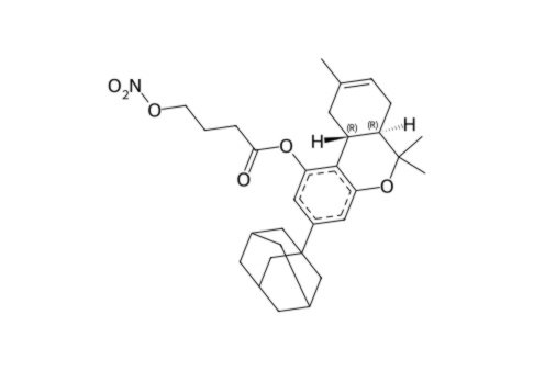 CC1=CC[C@@H]2[C@@H](C1)c1c(OC(=O)CCCO[N+](=O)[O-])cc(C34CC5CC(CC(C5)C3)C4)cc1OC2(C)C